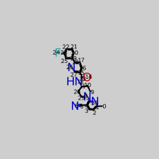 Cc1ccc(C#N)c(N2CCC(NC(=O)c3ccc(-c4cccc(F)c4)nc3)CC2)n1